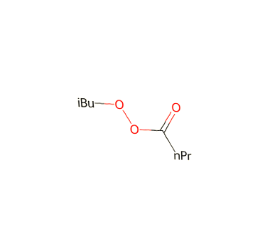 CCCC(=O)OOC(C)CC